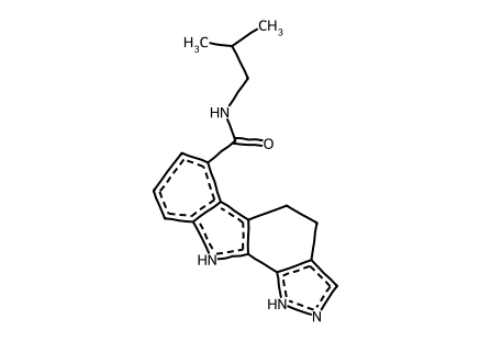 CC(C)CNC(=O)c1cccc2[nH]c3c(c12)CCc1cn[nH]c1-3